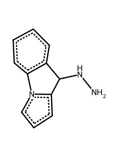 NNC1c2ccccc2-n2cccc21